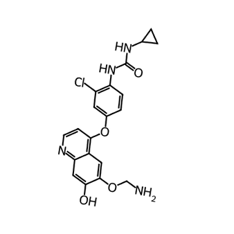 NCOc1cc2c(Oc3ccc(NC(=O)NC4CC4)c(Cl)c3)ccnc2cc1O